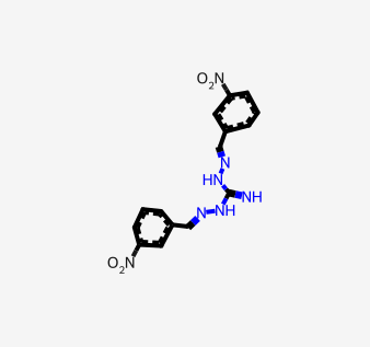 N=C(N/N=C/c1cccc([N+](=O)[O-])c1)N/N=C/c1cccc([N+](=O)[O-])c1